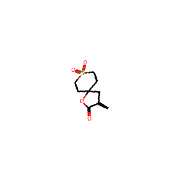 C=C1CC2(CCS(=O)(=O)CC2)OC1=O